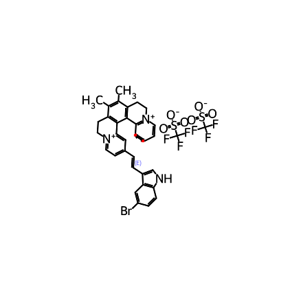 Cc1c(C)c2c(c3c1CC[n+]1ccc(/C=C/c4c[nH]c5ccc(Br)cc45)cc1-3)-c1c3ccccc3cc[n+]1CC2.O=S(=O)([O-])C(F)(F)F.O=S(=O)([O-])C(F)(F)F